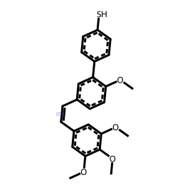 COc1ccc(/C=C\c2cc(OC)c(OC)c(OC)c2)cc1-c1ccc(S)cc1